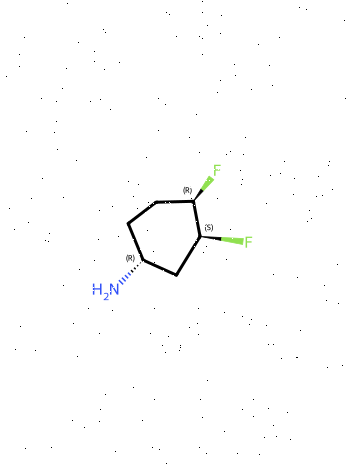 N[C@@H]1CC[C@@H](F)[C@@H](F)C1